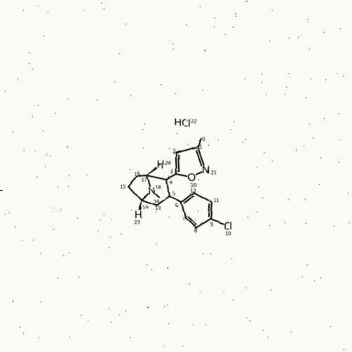 Cc1cc(C2C(c3ccc(Cl)cc3)C[C@@H]3CC[C@H]2N3C)on1.Cl